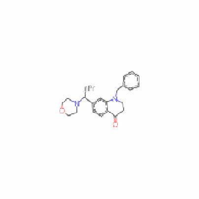 CCCC(c1ccc2c(c1)N(Cc1ccccc1)CCC2=O)N1CCOCC1